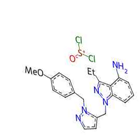 CCc1nn(Cc2ccnn2Cc2ccc(OC)cc2)c2cccc(N)c12.[O-][S+](Cl)Cl